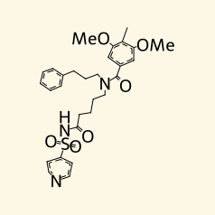 COc1cc(C(=O)N(CCCCC(=O)NS(=O)(=O)c2ccncc2)CCCc2ccccc2)cc(OC)c1C